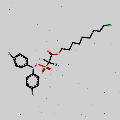 O=C(OCCCCCCCCCCl)C(C(F)(F)F)(C(F)(F)F)S(=O)(=O)O[I+](c1ccc(Cl)cc1)c1ccc(Cl)cc1